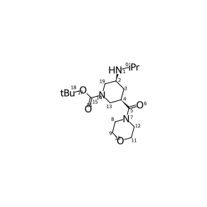 CC(C)N[C@H]1C[C@@H](C(=O)N2CCOCC2)CN(C(=O)OC(C)(C)C)C1